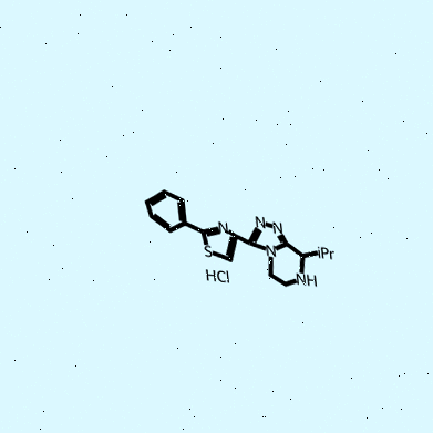 CC(C)C1NCCn2c(-c3csc(-c4ccccc4)n3)nnc21.Cl